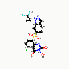 O=c1[nH]c2c(S(=O)(=O)c3ccc4cnn([C@@H]5CC5(F)F)c4c3)ccc(Cl)c2c(=O)n1O